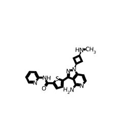 CN[C@H]1C[C@@H](n2nc(-c3ccc(C(=O)Nc4ccccn4)s3)c3c(N)nccc32)C1